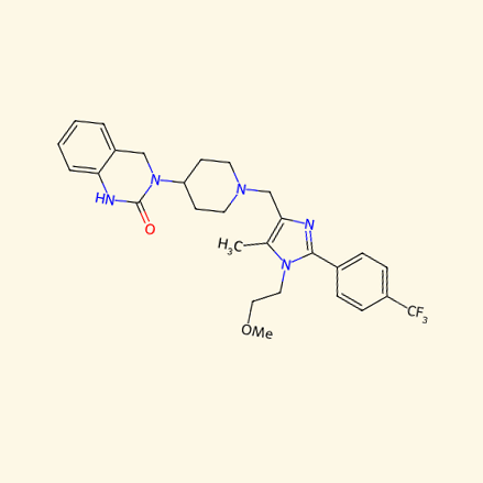 COCCn1c(-c2ccc(C(F)(F)F)cc2)nc(CN2CCC(N3Cc4ccccc4NC3=O)CC2)c1C